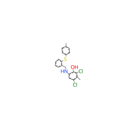 Cc1ccc(Sc2ccccc2CNc2cc(Cl)c(C)c(Cl)c2O)cc1